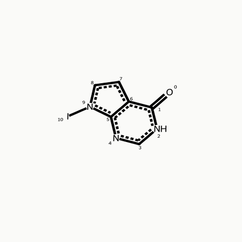 O=c1[nH]cnc2c1ccn2I